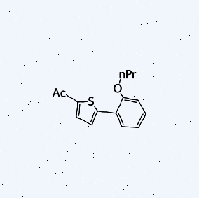 CCCOc1ccccc1-c1ccc(C(C)=O)s1